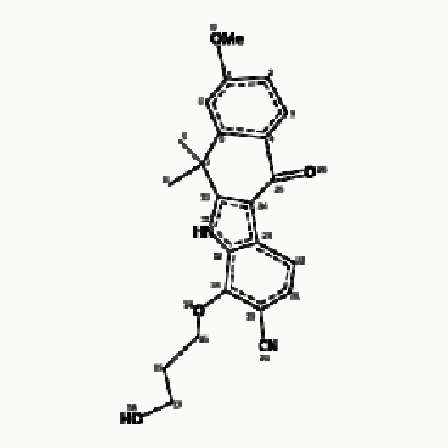 COc1ccc2c(c1)C(C)(C)c1[nH]c3c(OCCCO)c(C#N)ccc3c1C2=O